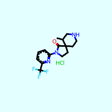 CC1CNCCC12CCN(c1cccc(C(F)(F)F)n1)C2=O.Cl